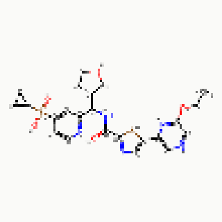 CCOc1cncc(-c2cnc(C(=O)N[C@@H](c3cc(S(=O)(=O)C4CC4)ccn3)[C@@H]3CCOC3)s2)n1